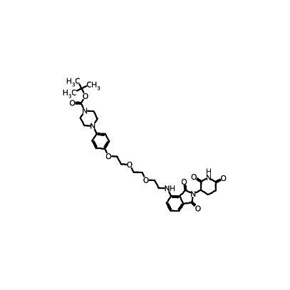 CC(C)(C)OC(=O)N1CCN(c2ccc(OCCOCCOCCNc3cccc4c3C(=O)N(C3CCC(=O)NC3=O)C4=O)cc2)CC1